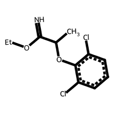 CCOC(=N)C(C)Oc1c(Cl)cccc1Cl